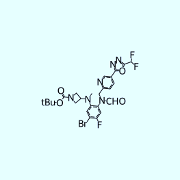 CN(c1cc(Br)c(F)cc1N(C=O)Cc1ccc(-c2nnc(C(F)F)o2)cn1)C1CN(C(=O)OC(C)(C)C)C1